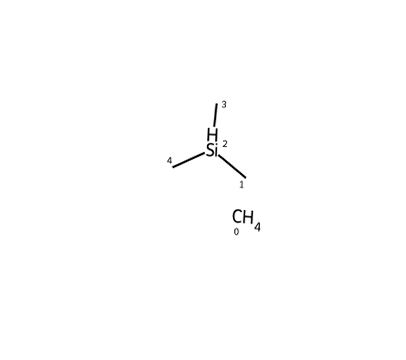 C.C[SiH](C)C